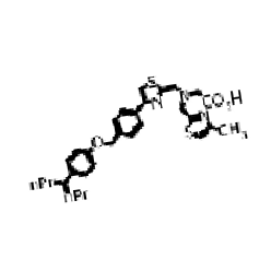 CCCC(CCC)c1ccc(OCc2ccc(-c3csc(CN(CC(=O)O)Cc4nc(C)cs4)n3)cc2)cc1